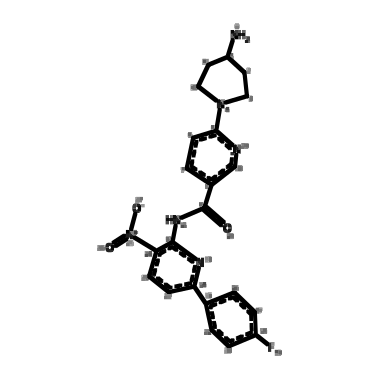 NC1CCN(c2ccc(C(=O)Nc3nc(-c4ccc(F)cc4)ccc3[N+](=O)[O-])cn2)CC1